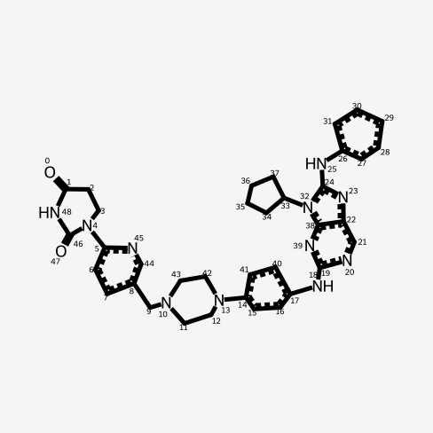 O=C1CCN(c2ccc(CN3CCN(c4ccc(Nc5ncc6nc(Nc7ccccc7)n(C7CCCC7)c6n5)cc4)CC3)cn2)C(=O)N1